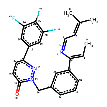 CC=C(/N=C\C=C(C)C)c1cccc(Cn2nc(-c3cc(F)c(F)c(F)c3)ccc2=O)c1